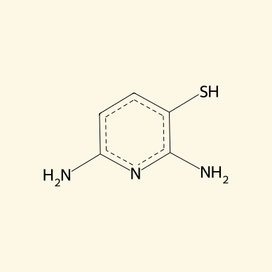 Nc1ccc(S)c(N)n1